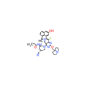 C#Cc1cccc2cc(O)cc(-c3ncc4c(N5CC[C@H](C#N)C[C@H](NC(=O)C=C)C5)nc(OCC56CCCN5CCC6)nc4c3F)c12